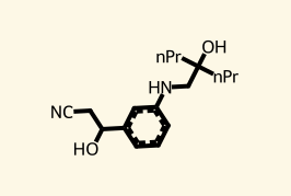 CCCC(O)(CCC)CNc1cccc(C(O)CC#N)c1